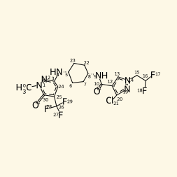 Cn1nc(N[C@H]2CC[C@@H](NC(=O)c3cn(CC(F)F)nc3Cl)CC2)cc(C(F)(F)F)c1=O